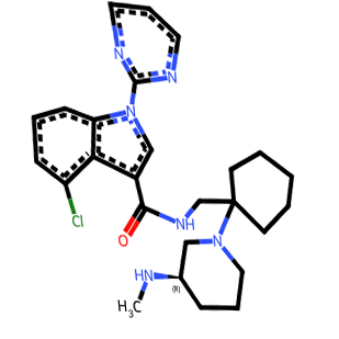 CN[C@@H]1CCCN(C2(CNC(=O)c3cn(-c4ncccn4)c4cccc(Cl)c34)CCCCC2)C1